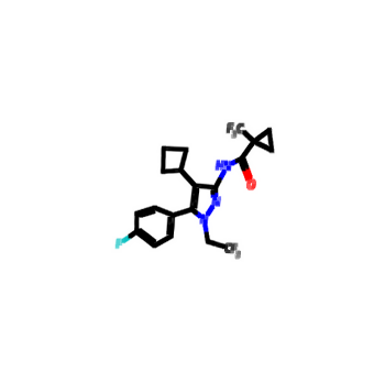 O=C(Nc1nn(CC(F)(F)F)c(-c2ccc(F)cc2)c1C1CCC1)C1(C(F)(F)F)CC1